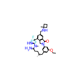 CCOc1cc(C[C@H](C)CC[C@@H](N)N(C)C=N)cc(N2Cc3c(cc(CNC4(C)CCC4)cc3C(F)(F)F)C2=O)c1